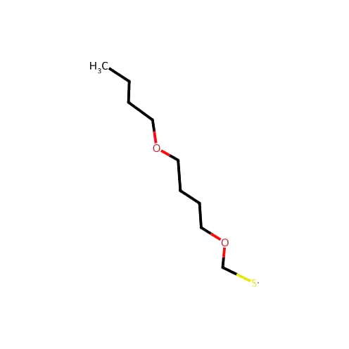 CCCCOCCCCOC[S]